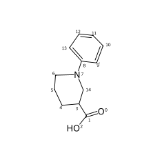 O=C(O)C1CCCN(c2[c]cccc2)C1